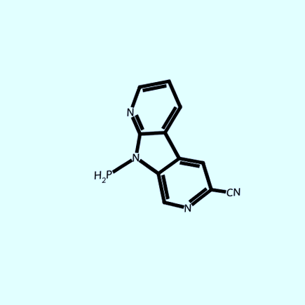 N#Cc1cc2c3cccnc3n(P)c2cn1